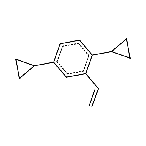 C=Cc1cc(C2CC2)ccc1C1CC1